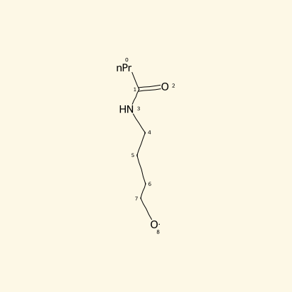 CCCC(=O)NCCCC[O]